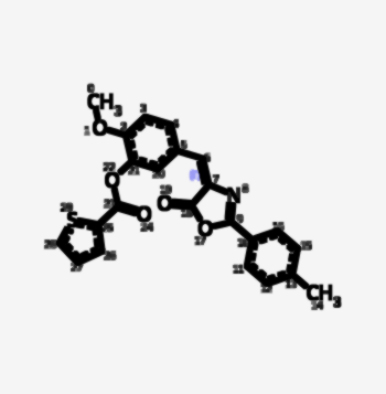 COc1ccc(/C=C2/N=C(c3ccc(C)cc3)OC2=O)cc1OC(=O)c1cccs1